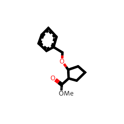 COC(=O)C1CCCC1OCc1ccccc1